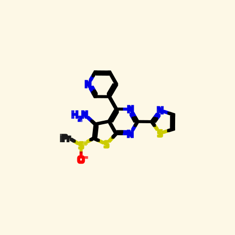 CC(C)[S+]([O-])c1sc2nc(-c3nccs3)nc(-c3cccnc3)c2c1N